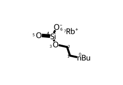 CCCCCCO[Si](=O)[O-].[Rb+]